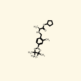 Cc1cc(B2OC(C)(C)C(C)(C)O2)ccc1CN[C@@H](C)C(=O)OC1CCCC1